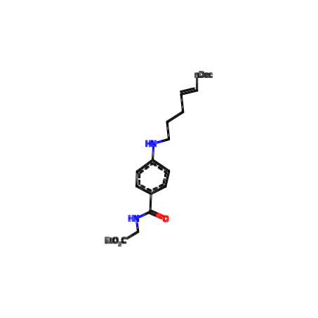 CCCCCCCCCCC=CCCCNc1ccc(C(=O)NCC(=O)OCC)cc1